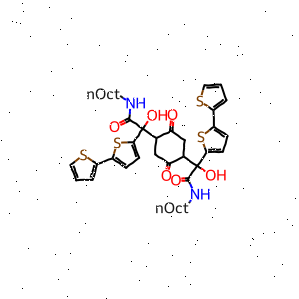 CCCCCCCCNC(=O)C(O)(c1ccc(-c2cccs2)s1)C1CC(=O)C(C(O)(C(=O)NCCCCCCCC)c2ccc(-c3cccs3)s2)CC1=O